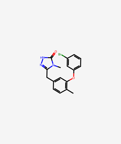 Cc1ccc(Cc2n[nH]c(=O)n2C)cc1Oc1cccc(Br)c1